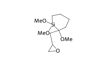 COC1(CC2CO2)CCCC[Si]1(OC)OC